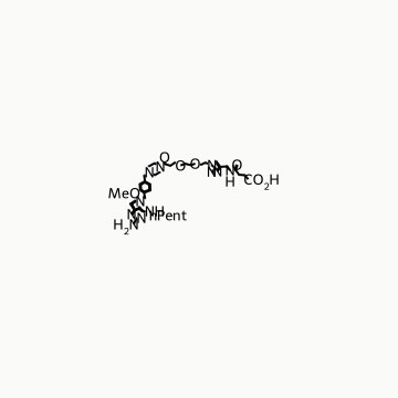 CCCCCNc1nc(N)nc2ccn(Cc3ccc(CN4CCN(C(=O)CCOCCOCCn5cc(CNC(=O)CCC(=O)O)nn5)CC4)cc3OC)c12